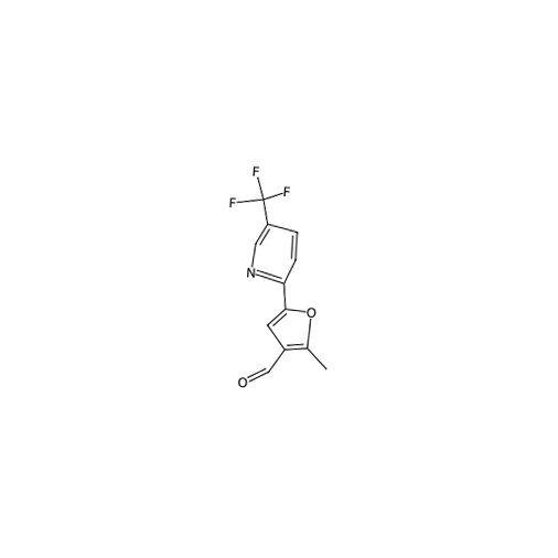 Cc1oc(-c2ccc(C(F)(F)F)cn2)cc1C=O